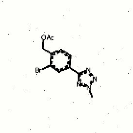 CC(=O)OCc1ccc(-c2nnn(C)n2)cc1Br